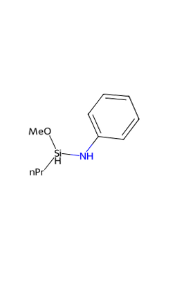 CCC[SiH](Nc1ccccc1)OC